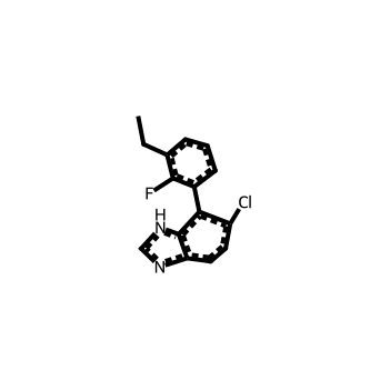 CCc1cccc(-c2c(Cl)ccc3nc[nH]c23)c1F